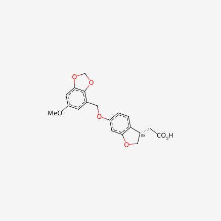 COc1cc(COc2ccc3c(c2)OC[C@H]3CC(=O)O)c2c(c1)OCO2